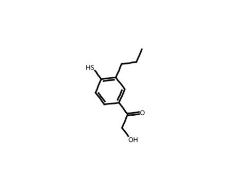 CCCc1cc(C(=O)CO)ccc1S